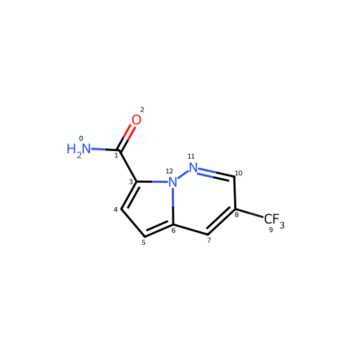 NC(=O)c1ccc2cc(C(F)(F)F)cnn12